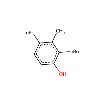 CCCCc1c(O)ccc(CCC)c1C